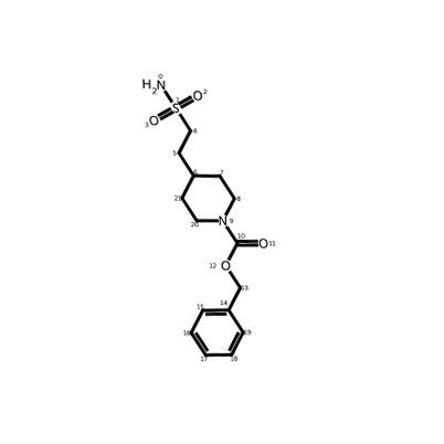 NS(=O)(=O)CCC1CCN(C(=O)OCc2ccccc2)CC1